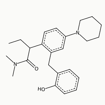 CCC(C(=O)N(C)C)c1ccc(N2CCCCC2)cc1Cc1ccccc1O